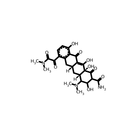 CN(C)C(=O)C(=O)c1ccc(O)c2c1C[C@H]1C[C@H]3C(N(C)C)C(O)C(C(N)=O)C(=O)[C@@]3(O)C(O)=C1C2=O